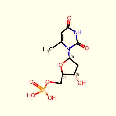 Cc1cc(=O)[nH]c(=O)n1[C@H]1C[C@H](O)[C@@H](COP(=O)(O)O)O1